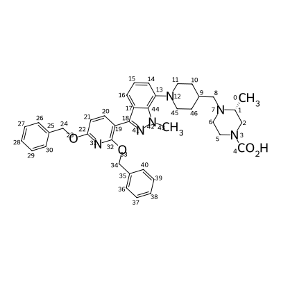 C[C@@H]1CN(C(=O)O)CCN1CC1CCN(c2cccc3c(-c4ccc(OCc5ccccc5)nc4OCc4ccccc4)nn(C)c23)CC1